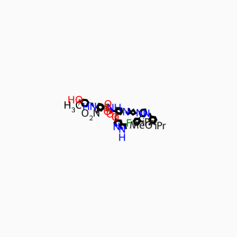 COc1cc(CN2CCN(C3CC4(C3)CN(c3ccc(C(=O)NS(=O)(=O)c5ccc(NC[C@H]6CC[C@](C)(O)CC6)c([N+](=O)[O-])c5)c(Oc5cnc6[nH]cc(F)c6c5)c3)C4)[C@H](c3ccccc3C(C)C)C2)ccc1C(C)C